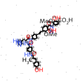 COc1c(C#Cc2ccc(NC(=O)[C@H](Cc3cnn[nH]3)NC(=O)c3ccc(NC(=O)/C(C)=C/c4ccc(O)cc4)cc3)cc2)ccc(C(=O)Nc2ccc(C(=O)O)c(O)c2OC)c1O